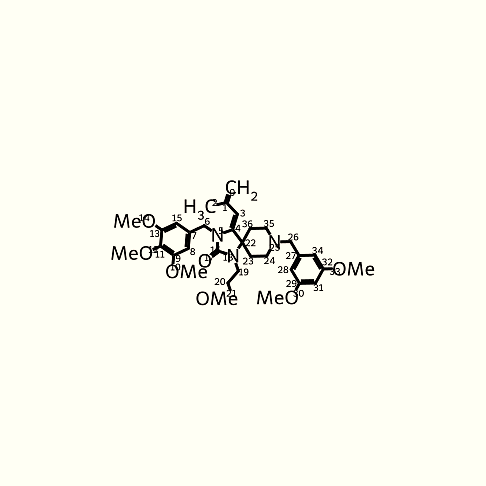 C=C(C)C=C1N(Cc2cc(OC)c(OC)c(OC)c2)C(=O)N(CCOC)C12CCN(Cc1cc(OC)cc(OC)c1)CC2